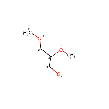 COCC(C[O])OC